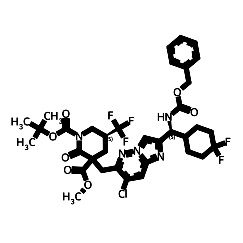 COC(=O)C1(Cc2nn3cc([C@@H](NC(=O)OCc4ccccc4)C4CCC(F)(F)CC4)nc3cc2Cl)C[C@H](C(F)(F)F)CN(C(=O)OC(C)(C)C)C1=O